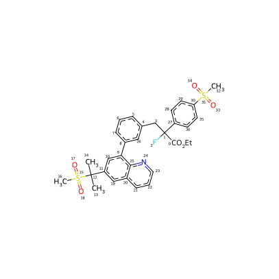 CCOC(=O)C(F)(Cc1cccc(-c2cc(C(C)(C)S(C)(=O)=O)cc3cccnc23)c1)c1ccc(S(C)(=O)=O)cc1